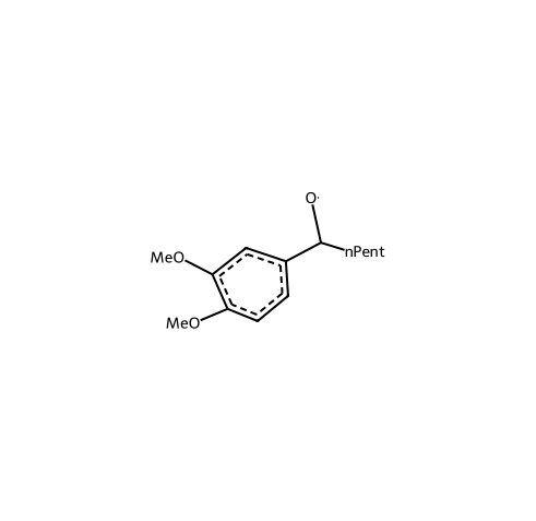 CCCCCC([O])c1ccc(OC)c(OC)c1